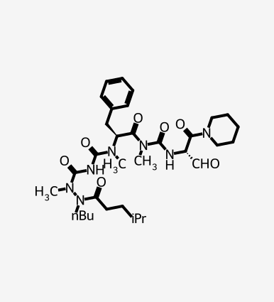 CCCCN(C(=O)CCC(C)C)N(C)C(=O)NC(=O)N(C)[C@@H](Cc1ccccc1)C(=O)N(C)C(=O)N[C@@H](C=O)C(=O)N1CCCCC1